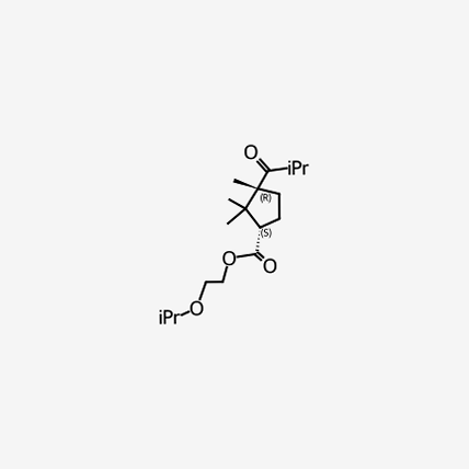 CC(C)OCCOC(=O)[C@H]1CC[C@@](C)(C(=O)C(C)C)C1(C)C